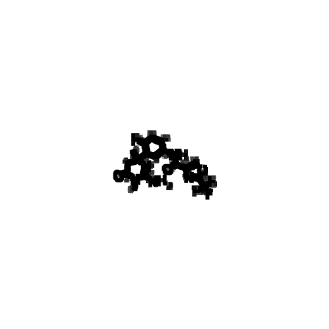 CN1C(=O)CC(C)(c2cc(NC(=O)c3coc(C(F)(F)F)n3)ccc2F)N=C1N